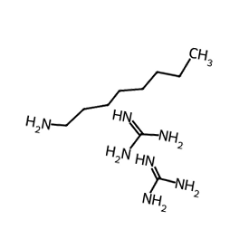 CCCCCCCCN.N=C(N)N.N=C(N)N